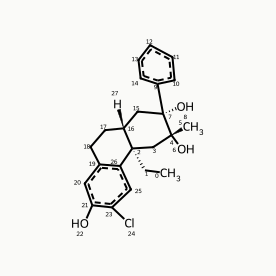 CC[C@@]12C[C@@](C)(O)[C@](O)(c3ccccc3)C[C@H]1CCc1cc(O)c(Cl)cc12